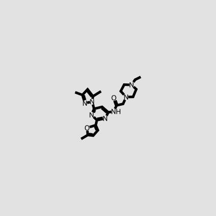 CCN1CCN(CC(=O)Nc2cc(-n3nc(C)cc3C)nc(-c3ccc(C)o3)n2)CC1